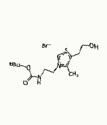 Cc1c(CCO)sc[n+]1CCNC(=O)OC(C)(C)C.[Br-]